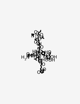 CC[C@H](C)[C@H](NC(=O)[C@H]1CN1C)C(=O)N(C)[C@H](C[C@@H](OC(C)=O)c1nc(C(=O)N(C)[C@@H](Cc2ccc(OC3OC(CO)C(O)C(O)C3O)cc2)C(=O)N[C@@H](CCCNC(N)=O)C(=O)N[C@H](C(=O)N2CCN(C(=O)CCCN3C(=O)C=CC3=O)CC2)C(C)C)cs1)C(C)C